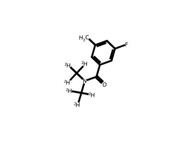 [2H]C([2H])([2H])N(C(=O)c1cc(C)cc(F)c1)C([2H])([2H])[2H]